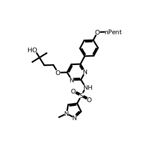 CCCCCOc1ccc(-c2cc(OCCC(C)(C)O)nc(NS(=O)(=O)c3cnn(C)c3)n2)cc1